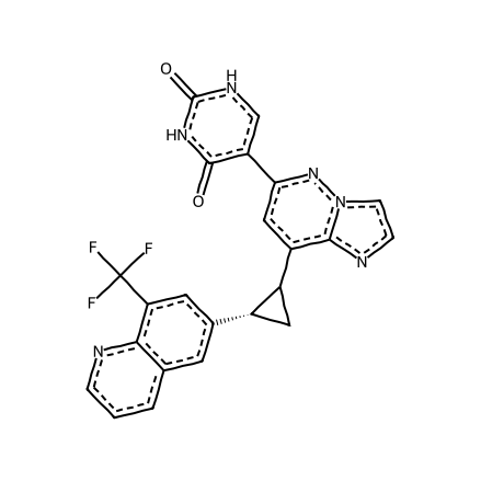 O=c1[nH]cc(-c2cc(C3C[C@@H]3c3cc(C(F)(F)F)c4ncccc4c3)c3nccn3n2)c(=O)[nH]1